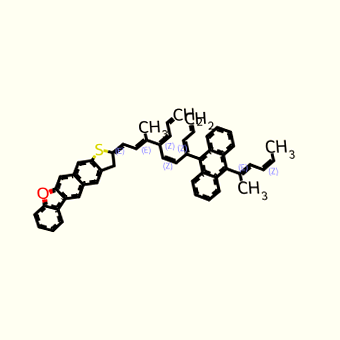 C=C/C=C(/C=C\C(=C\C=C)c1c2ccccc2c(/C(C)=C/C=C\C)c2ccccc12)C(\C)=C\C=C1/Cc2cc3cc4c(cc3cc2S1)oc1ccccc14